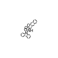 COC(=O)[C@@H](Cc1ccc2ccccc2c1)NC(=O)n1c2ccccc2c2ccccc21